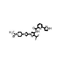 C[S+]([O-])N1CCC(N2CC(n3cc(NC(=O)c4cccc(-c5cc[nH]n5)n4)c(C(F)F)n3)C2)CC1